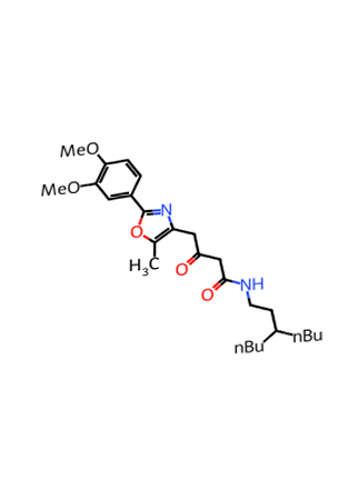 CCCCC(CCCC)CCNC(=O)CC(=O)Cc1nc(-c2ccc(OC)c(OC)c2)oc1C